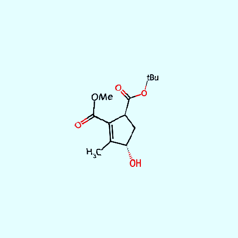 COC(=O)C1=C(C)[C@@H](O)CC1C(=O)OC(C)(C)C